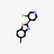 Cc1ccc2sc(-c3ccncc3F)nc2c1